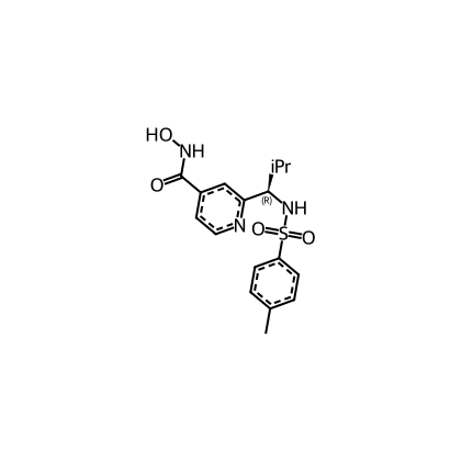 Cc1ccc(S(=O)(=O)N[C@@H](c2cc(C(=O)NO)ccn2)C(C)C)cc1